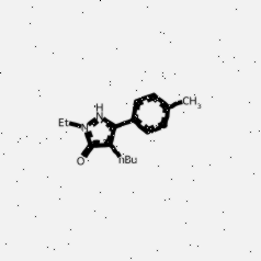 CCCCc1c(-c2ccc(C)cc2)[nH]n(CC)c1=O